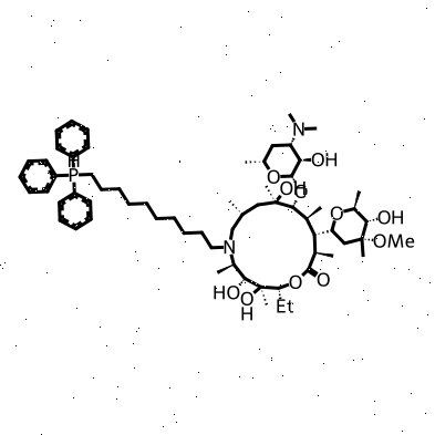 CC[C@H]1OC(=O)[C@H](C)[C@@H](C2C[C@@](C)(OC)[C@@H](O)[C@H](C)O2)[C@H](C)[C@@H](O[C@@H]2O[C@H](C)C[C@H](N(C)C)[C@H]2O)[C@](C)(O)C[C@@H](C)CN(CCCCCCCCCC[PH](c2ccccc2)(c2ccccc2)c2ccccc2)[C@H](C)[C@@H](O)[C@]1(C)O